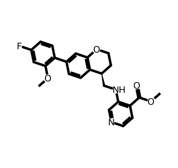 COC(=O)c1ccncc1NC[C@@H]1CCOc2cc(-c3ccc(F)cc3OC)ccc21